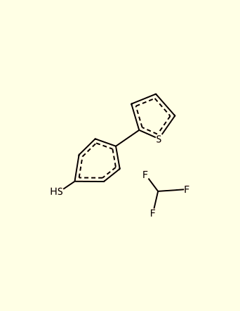 FC(F)F.Sc1ccc(-c2cccs2)cc1